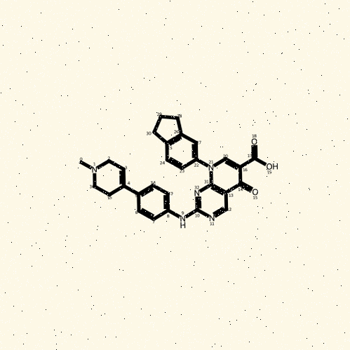 CN1CC=C(c2ccc(Nc3ncc4c(=O)c(C(=O)O)cn(-c5ccc6c(c5)CCC6)c4n3)cc2)CC1